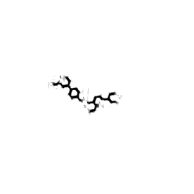 Cc1cc(-c2ccc3c(NCc4ccc(-c5ccnc(C(F)(F)F)c5)cc4)nccc3n2)ccn1